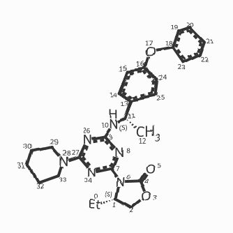 CC[C@H]1COC(=O)N1c1nc(N[C@@H](C)c2ccc(Oc3ccccc3)cc2)nc(N2CCCCC2)n1